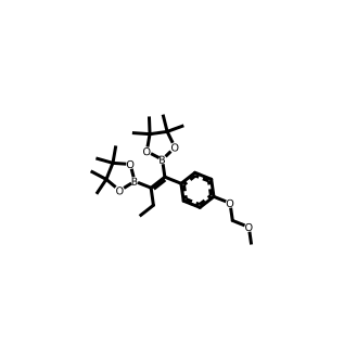 CCC(B1OC(C)(C)C(C)(C)O1)=C(B1OC(C)(C)C(C)(C)O1)c1ccc(OCOC)cc1